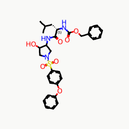 CC(C)C[C@H](NC(=O)OCc1ccccc1)C(=O)NC1CN(S(=O)(=O)c2ccc(Oc3ccccc3)cc2)CC1O